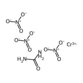 NC(N)=O.O=[N+]([O-])[O-].O=[N+]([O-])[O-].O=[N+]([O-])[O-].[Cr+3]